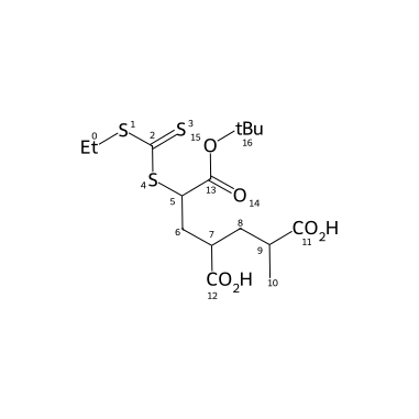 CCSC(=S)SC(CC(CC(C)C(=O)O)C(=O)O)C(=O)OC(C)(C)C